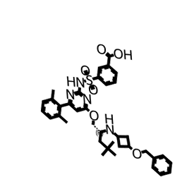 Cc1cccc(C)c1-c1cc(OC[C@@H](CC(C)(C)C)NC2CC(OCc3ccccc3)C2)nc(NS(=O)(=O)c2cccc(C(=O)O)c2)n1